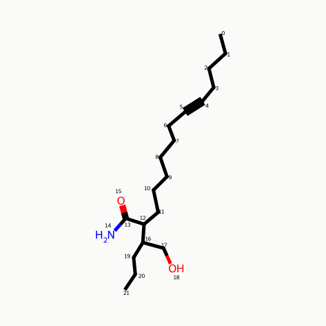 CCCCC#CCCCCCCC(C(N)=O)C(CO)CCC